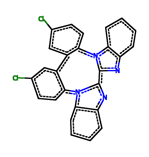 Clc1ccc2c(c1)c1cc(Cl)ccc1n1c3ccccc3nc1c1nc3ccccc3n21